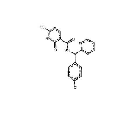 O=C(NC(c1ccc(Cl)cc1)c1ccccn1)c1ccc(C(F)(F)F)[nH]c1=O